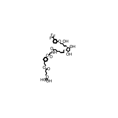 O=C(CCC/C=C\C[C@@H]1[C@@H](/C=C/[C@@H](O)COc2cccc(C(F)(F)F)c2)[C@H](O)C[C@@H]1O)NCC(=O)Oc1ccc(CCOC(=O)CCCON(O)O)cc1